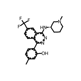 Cc1ccc(-c2nnc(N[C@@H]3CCCN(C)C3)c3cc(C(F)(F)F)ccc23)c(O)c1